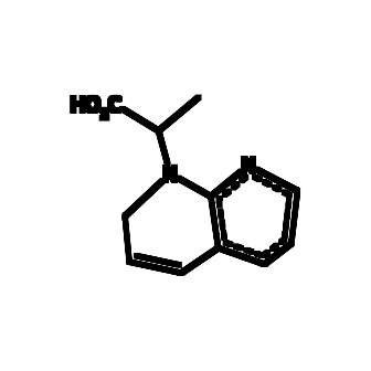 CC(C(=O)O)N1CC=Cc2cccnc21